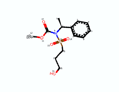 C[C@@H](c1ccccc1)N(C(=O)OC(C)(C)C)S(=O)(=O)CCCO